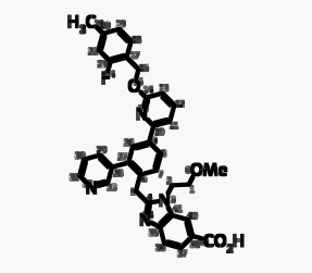 COCCn1c(Cc2ccc(-c3cccc(OCc4ccc(C)cc4F)n3)cc2-c2cccnc2)nc2ccc(C(=O)O)cc21